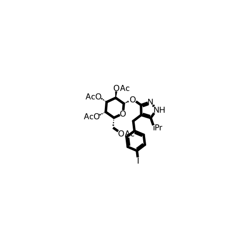 CC(=O)OC[C@H]1O[C@@H](Oc2n[nH]c(C(C)C)c2Cc2ccc(I)cc2)[C@H](OC(C)=O)[C@@H](OC(C)=O)[C@H]1OC(C)=O